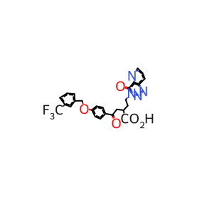 O=C(CC(CCn1nnc2cccnc2c1=O)C(=O)O)c1ccc(OCc2cccc(C(F)(F)F)c2)cc1